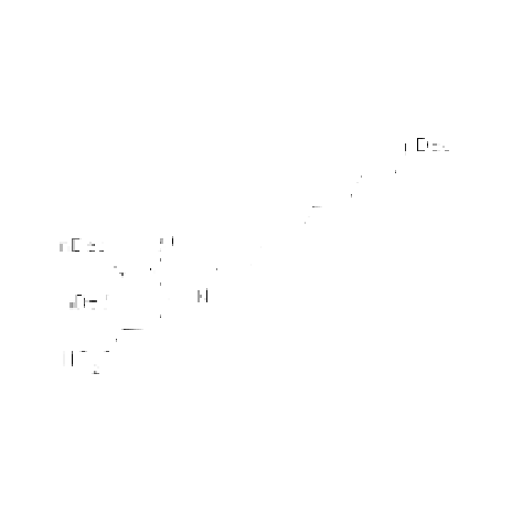 CCCCCCCCCCCCCCCCCCNC(CCC(=O)O)C(=O)N(CCCCCCCCCC)CCCCCCCCCC